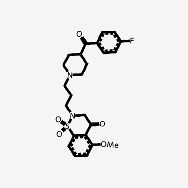 COc1cccc2c1C(=O)CN(CCCN1CCC(C(=O)c3ccc(F)cc3)CC1)S2(=O)=O